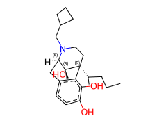 CCCC(C)[C@]12CCN(CC3CCC3)[C@H](Cc3ccc(O)c(O)c31)[C@@]2(C)O